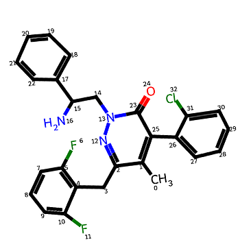 Cc1c(Cc2c(F)cccc2F)nn(CC(N)c2ccccc2)c(=O)c1-c1ccccc1Cl